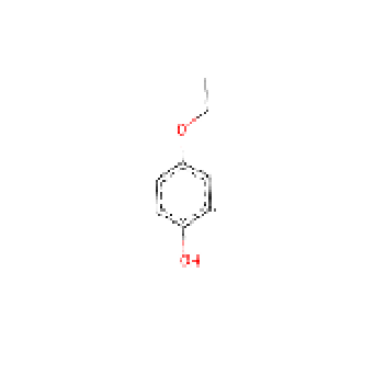 CCOc1c[c]c(O)cc1